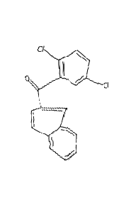 O=C(c1ccc2ccccc2c1)c1cc(Cl)ccc1Cl